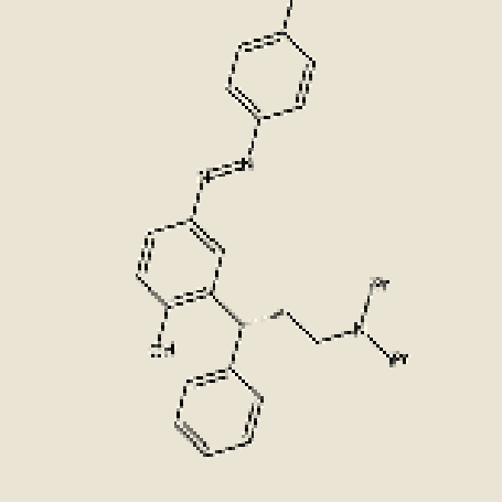 Cc1ccc(N=Nc2ccc(O)c([C@H](CCN(C(C)C)C(C)C)c3ccccc3)c2)cc1